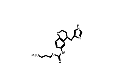 COCCCOC(=O)Nc1ccc2c(c1)C(Cc1c[nH]cn1)CCO2